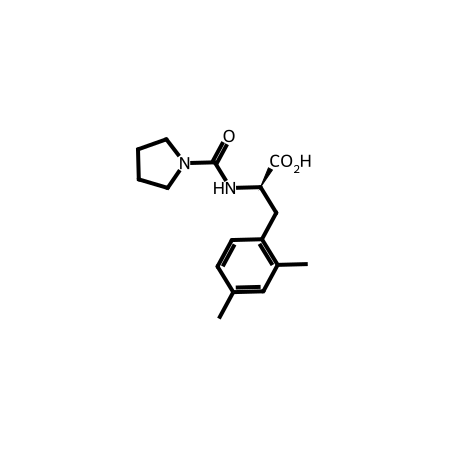 Cc1ccc(C[C@@H](NC(=O)N2CCCC2)C(=O)O)c(C)c1